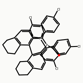 Clc1ccc(P(c2ccc(Cl)cc2)c2ccc3c(c2-c2c(P(c4ccc(Cl)cc4)c4ccc(Cl)cc4)ccc4c2CCCC4)CCCC3)cc1